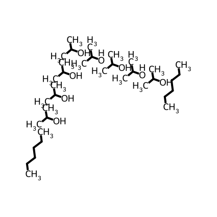 CC(C)O.CC(C)O.CC(C)O.CC(C)O.CC(C)O.CC(C)O.CC(C)O.CC(C)O.CCCCCC.CCCCCC